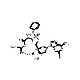 C#C[C@]1(COP(=O)(N[C@@H](C)C(=O)OC(CCCCCCCCCC)CCCCCCCCCC)Oc2ccccc2)O[C@@H](n2cnc3c(N)nc(F)nc32)C[C@@H]1O